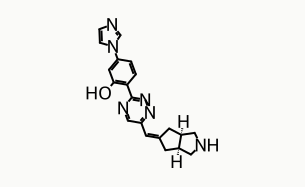 Oc1cc(-n2ccnc2)ccc1-c1ncc(/C=C2\C[C@H]3CNC[C@H]3C2)nn1